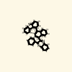 c1ccc(-c2nc3ccccc3nc2-c2ccc(-c3cccc4sc5ccccc5c34)c3ccccc23)cc1